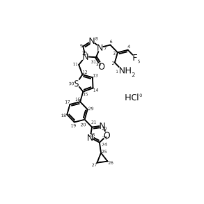 Cl.NC/C(=C\F)Cn1ncn(Cc2ccc(-c3cccc(-c4noc(C5CC5)n4)c3)s2)c1=O